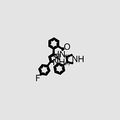 O=C(N[C@@H]1CNC[C@H]1c1ccccc1)c1ccccc1-c1cc(-c2ccc(F)cc2)[nH]n1